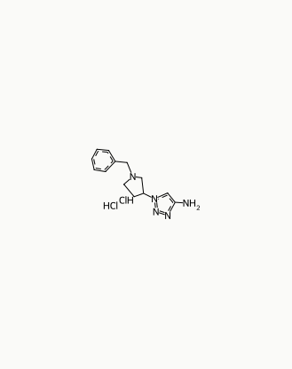 Cl.Cl.Nc1cn(C2CCN(Cc3ccccc3)C2)nn1